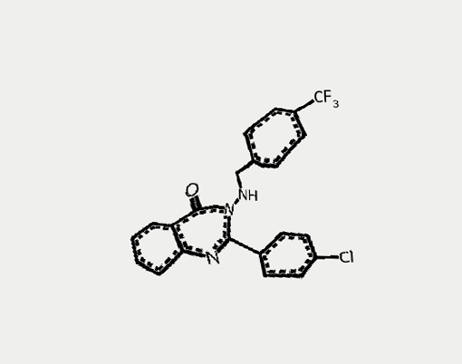 O=c1c2ccccc2nc(-c2ccc(Cl)cc2)n1NCc1ccc(C(F)(F)F)cc1